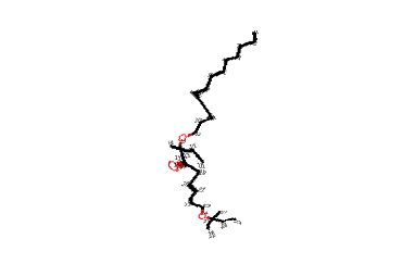 CCCCCCCCCCCCOC(C)(CC)C(=O)CCCCCOC(C)(C)CC